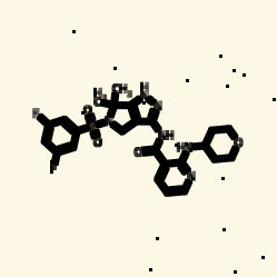 CC1(C)c2[nH]nc(NC(=O)c3cccnc3NC3CCOCC3)c2CN1S(=O)(=O)c1cc(F)cc(F)c1